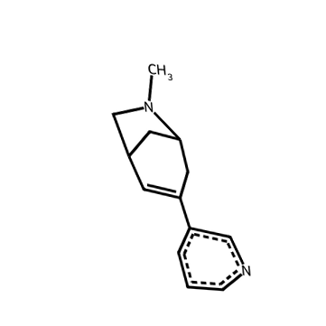 CN1CC2C=C(c3cccnc3)CC1C2